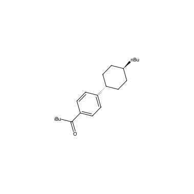 CCCC[C@H]1CC[C@H](c2ccc(C(=O)C(C)CC)cc2)CC1